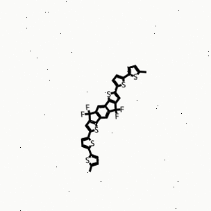 Cc1ccc(-c2ccc(-c3cc4c(s3)-c3cc5c(cc3C4(F)F)-c3sc(-c4ccc(-c6ccc(C)s6)s4)cc3C5(F)F)s2)s1